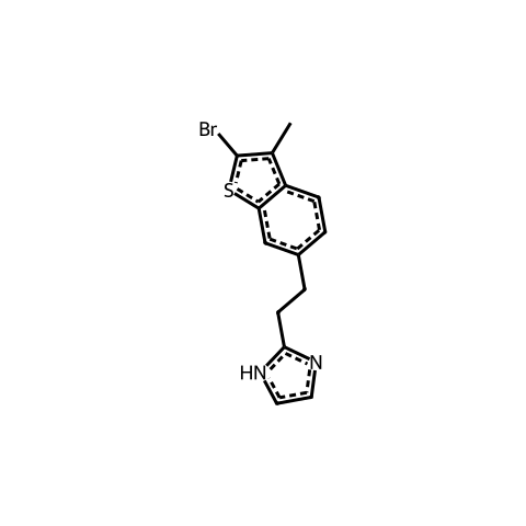 Cc1c(Br)sc2cc(CCc3ncc[nH]3)ccc12